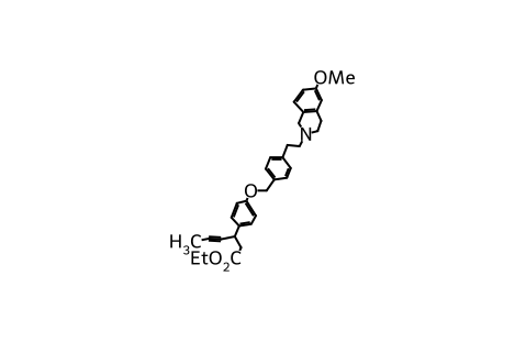 CC#CC(CC(=O)OCC)c1ccc(OCc2ccc(CCN3CCc4cc(OC)ccc4C3)cc2)cc1